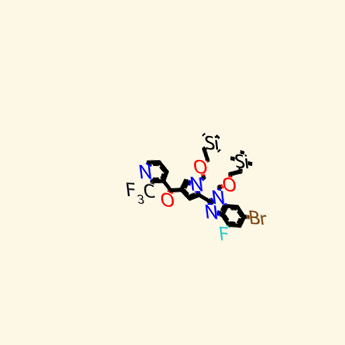 C[Si](C)(C)CCOCn1cc(C(=O)c2cccnc2C(F)(F)F)cc1-c1nc2c(F)cc(Br)cc2n1COCC[Si](C)(C)C